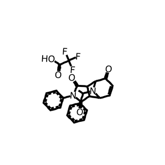 CC(c1ccccc1)N1C2C=CC(=O)C1C1C(=O)N(c3ccccc3)C(=O)C12.O=C(O)C(F)(F)F